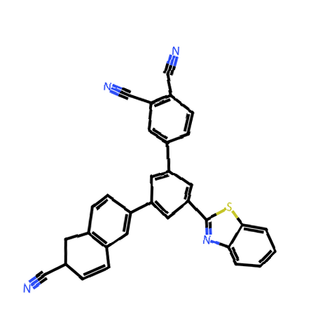 N#Cc1ccc(-c2cc(-c3ccc4c(c3)C=CC(C#N)C4)cc(-c3nc4ccccc4s3)c2)cc1C#N